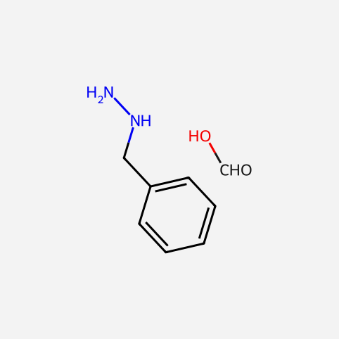 NNCc1ccccc1.O=CO